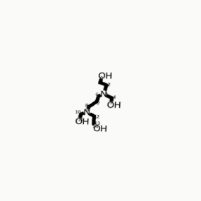 OCCN(CO)CCCN(CO)CCO